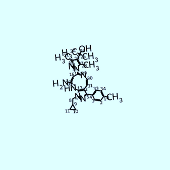 Cc1ccc(-c2nn(CC3CC3)c3[nH]c(N)cc(-n4nc(C)c(C(C)(C)O)c4C)nccc23)cc1